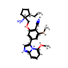 CC[C@@H]1CCC[C@@]1(N)COc1cc(-c2cnc3cccc(OC)n23)cc(SC)c1C#N